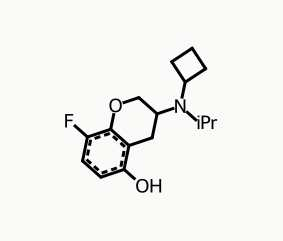 CC(C)N(C1CCC1)C1COc2c(F)ccc(O)c2C1